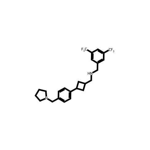 FC(F)(F)c1cc(CNCC2CC(c3ccc(CN4CCCC4)cc3)C2)cc(C(F)(F)F)c1